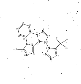 CC1(c2cnnn2N2C=NC3c4ccccc4-n4c(cnc4F)N32)CC1